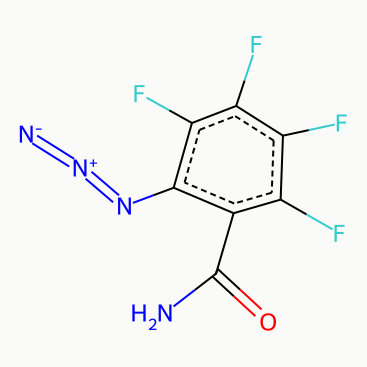 [N-]=[N+]=Nc1c(F)c(F)c(F)c(F)c1C(N)=O